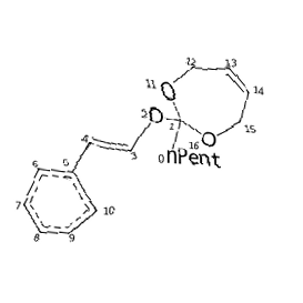 CCCCCC1(O/C=C/c2ccccc2)OCC=CCO1